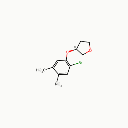 O=C(O)c1cc(O[C@H]2CCOC2)c(Br)cc1[N+](=O)[O-]